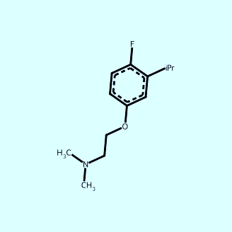 CC(C)c1cc(OCCN(C)C)ccc1F